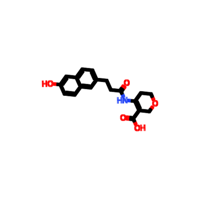 O=C(CCc1ccc2cc(O)ccc2c1)NC1=C(C(=O)O)COCC1